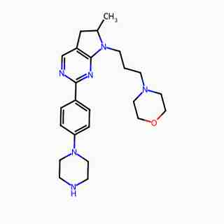 CC1Cc2cnc(-c3ccc(N4CCNCC4)cc3)nc2N1CCCN1CCOCC1